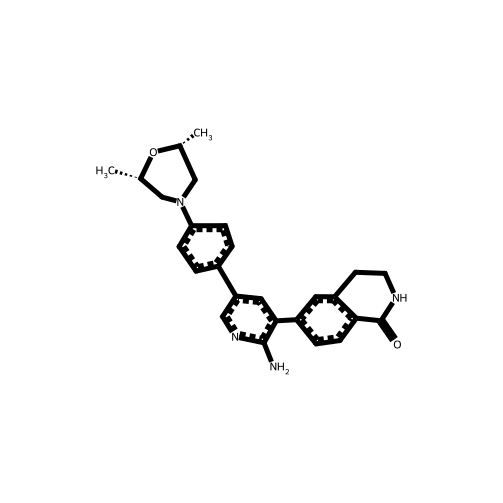 C[C@@H]1CN(c2ccc(-c3cnc(N)c(-c4ccc5c(c4)CCNC5=O)c3)cc2)C[C@H](C)O1